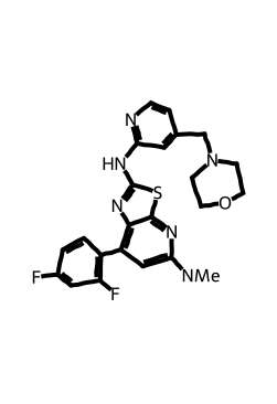 CNc1cc(-c2ccc(F)cc2F)c2nc(Nc3cc(CN4CCOCC4)ccn3)sc2n1